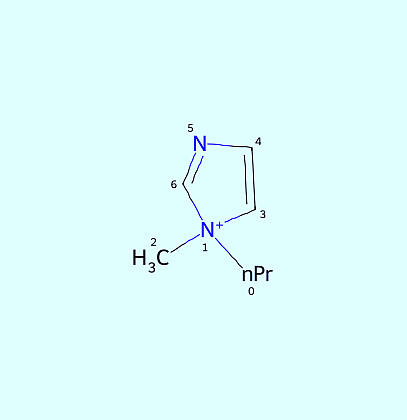 CCC[N+]1(C)C=CN=C1